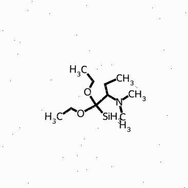 CCOC([SiH3])(OCC)C(CC)N(C)C